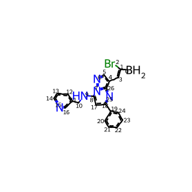 B/C(Br)=C/c1cnn2c(NCc3cccnc3)cc(-c3ccccc3)nc12